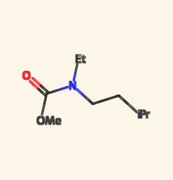 [CH2]OC(=O)N(CC)CCC(C)C